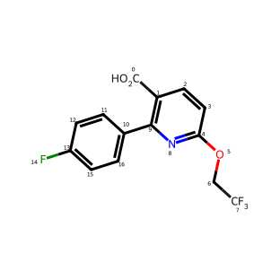 O=C(O)c1ccc(OCC(F)(F)F)nc1-c1ccc(F)cc1